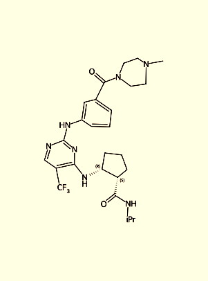 CC(C)NC(=O)[C@H]1CCC[C@H]1Nc1nc(Nc2cccc(C(=O)N3CCN(C)CC3)c2)ncc1C(F)(F)F